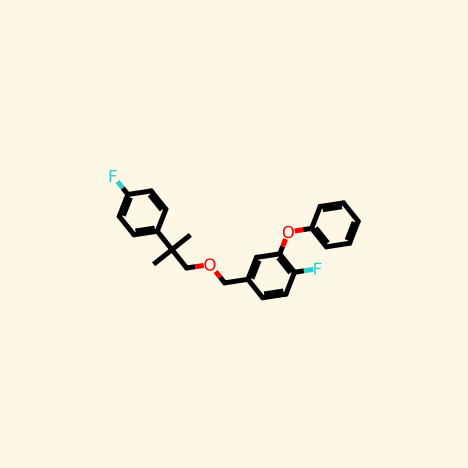 CC(C)(COCc1ccc(F)c(Oc2ccccc2)c1)c1ccc(F)cc1